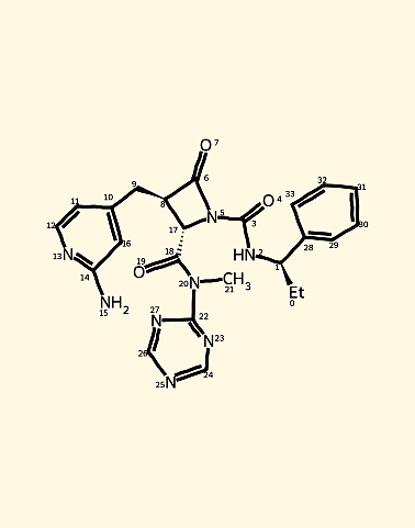 CC[C@@H](NC(=O)N1C(=O)[C@H](Cc2ccnc(N)c2)[C@H]1C(=O)N(C)c1ncncn1)c1ccccc1